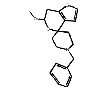 COC1Cc2sccc2C2(CCN(Cc3ccccc3)CC2)O1